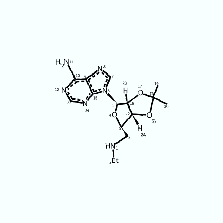 CCNC[C@H]1O[C@@H](n2cnc3c(N)ncnc32)[C@@H]2OC(C)(C)O[C@@H]21